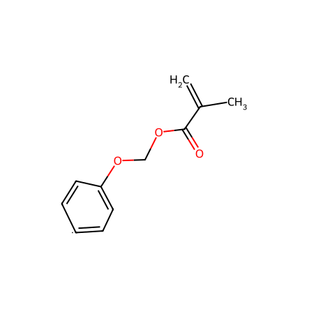 C=C(C)C(=O)OCOc1cc[c]cc1